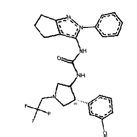 O=C(Nc1c2c(nn1-c1ccccc1)CCC2)NC1CN(CC(F)(F)F)C[C@H]1c1cccc(Cl)c1